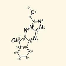 COCc1nnc2nc3c(nn12)C(=O)c1ccccc1-3